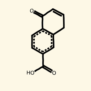 O=C(O)c1ccc2c(c1)CC=CC2=O